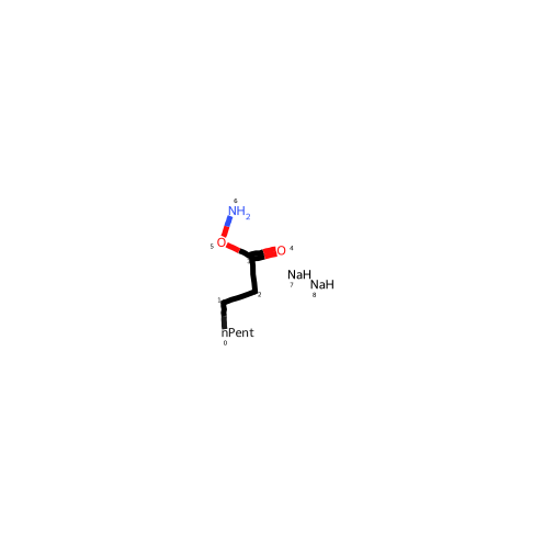 CCCCCCCC(=O)ON.[NaH].[NaH]